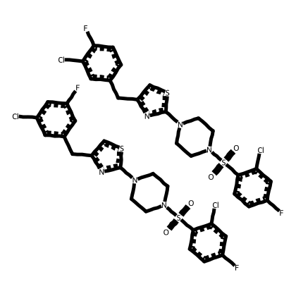 O=S(=O)(c1ccc(F)cc1Cl)N1CCN(c2nc(Cc3cc(F)cc(Cl)c3)cs2)CC1.O=S(=O)(c1ccc(F)cc1Cl)N1CCN(c2nc(Cc3ccc(F)c(Cl)c3)cs2)CC1